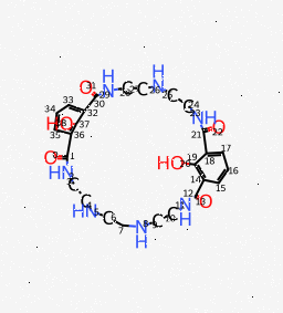 O=C1NCCNCCNCCNC(=O)c2cccc(c2O)C(=O)NCCNCCNC(=O)c2cccc1c2O